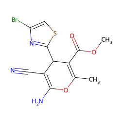 COC(=O)C1=C(C)OC(N)=C(C#N)C1c1nc(Br)cs1